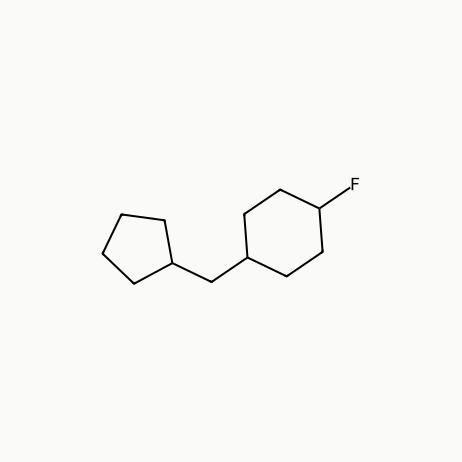 FC1CCC(CC2CCCC2)CC1